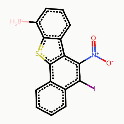 Bc1cccc2c1sc1c3ccccc3c(I)c([N+](=O)[O-])c21